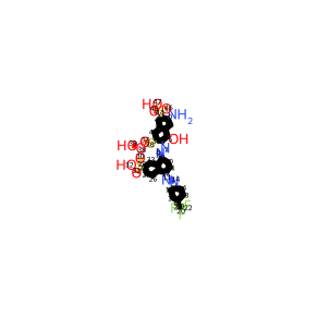 Nc1cc2c(O)c(/N=N/c3ccc(/N=N/c4ccc(C(F)(F)F)cc4)c4ccc(S(=O)(=O)O)cc34)c(SOOO)cc2cc1S(=O)(=O)O